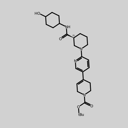 CC(C)(C)OC(=O)N1CC=C(c2ccc(N3CCC[C@H](C(=O)NC4CCC(O)CC4)C3)nc2)CC1